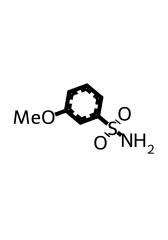 COc1cccc(S(N)(=O)=O)c1